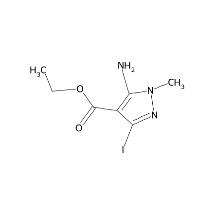 CCOC(=O)c1c(I)nn(C)c1N